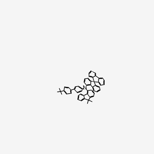 CC(C)(C)c1ccc(-c2ccc(N(c3cccc4c3-c3ccccc3C4(C)C)c3cccc4c3-c3ccccc3C43c4ccccc4-c4ccccc43)cc2)cc1